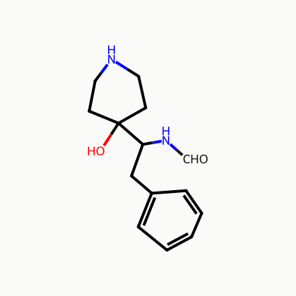 O=CNC(Cc1ccccc1)C1(O)CCNCC1